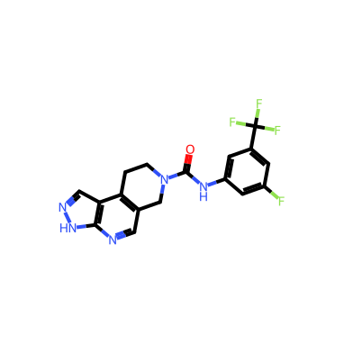 O=C(Nc1cc(F)cc(C(F)(F)F)c1)N1CCc2c(cnc3[nH]ncc23)C1